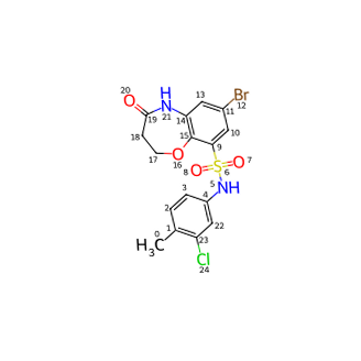 Cc1ccc(NS(=O)(=O)c2cc(Br)cc3c2OCCC(=O)N3)cc1Cl